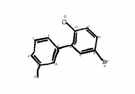 Cc1cc[c]c(-c2cc(Br)ccc2Cl)c1